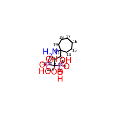 NC1(CCC(O)(P(=O)(O)O)P(=O)(O)O)CCCCCC1